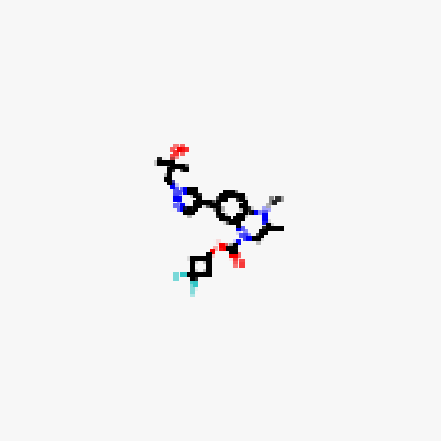 CC(=O)N1c2ccc(-c3cnn(CC(C)(C)O)c3)cc2N(C(=O)OC2CC(F)(F)C2)CC1C